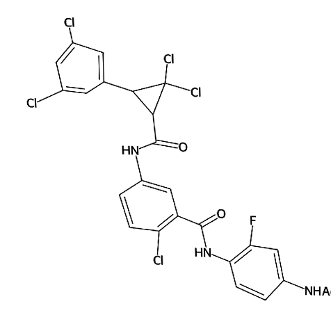 CC(=O)Nc1ccc(NC(=O)c2cc(NC(=O)C3C(c4cc(Cl)cc(Cl)c4)C3(Cl)Cl)ccc2Cl)c(F)c1